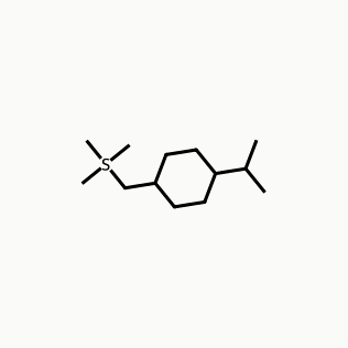 CC(C)C1CCC(CS(C)(C)C)CC1